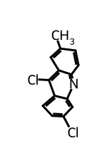 Cc1ccc2nc3cc(Cl)ccc3c(Cl)c2c1